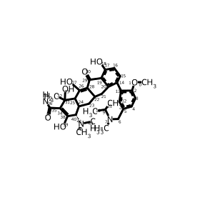 COc1ccc(CN(C)C(C)C)cc1-c1ccc(O)c2c1CC1CC3C(C(O)=C1C2=O)C(C)(O)C(C(N)=O)=C(O)[C@H]3N(C)C